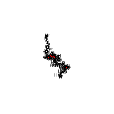 CCc1cc(OCCCCN=[N+]=[N-])ccc1-c1ccc(C[C@H](NC(=O)[C@H](CC(=O)O)NC(=O)[C@H](CO)NC(=O)[C@@H](NC(=O)C(C)(Cc2ccccc2F)NC(=O)[C@@H](NC(=O)CNC(=O)[C@H](Cc2nnn[nH]2)NC(=O)C(C)(C)C(=O)NCCc2cnc[nH]2)[C@@H](C)O)[C@@H](C)O)C(=O)O)cc1